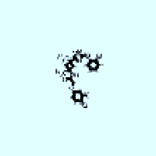 CC1(NC(=O)COc2ccc(Cl)c(F)c2)CC(C)(c2nnc(Oc3ccccc3Cl)o2)C1